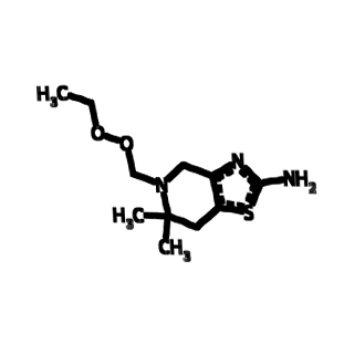 CCOOCN1Cc2nc(N)sc2CC1(C)C